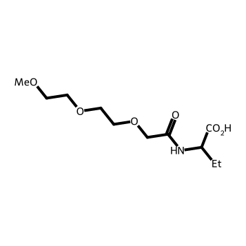 CCC(NC(=O)COCCOCCOC)C(=O)O